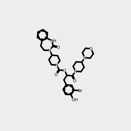 O=C(OC(Cc1ccc(O)c(Br)c1)C(=O)N1CCC(N2CCOCC2)CC1)N1CCC(N2CCc3ccccc3NC2=O)CC1